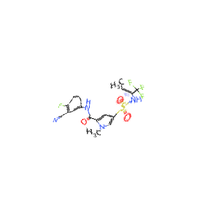 C/C=C(/NS(=O)(=O)c1cc(C(=O)Nc2ccc(F)c(C#N)c2)n(C)c1)C(F)(F)F